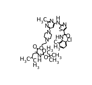 Cc1nc(Nc2ncc(C(=O)Nc3c(C)cccc3Cl)s2)cc(N2CCN(CCOC(=O)[C@H](CC(C)C)NC(=O)OC(C)(C)C)CC2)n1